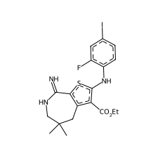 CCOC(=O)c1c(Nc2ccc(I)cc2F)sc2c1CC(C)(C)CNC2=N